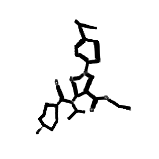 CCOC(=O)c1cn(-c2ccc(C(C)C)cc2)nc1N(C(=O)[C@H]1CC[C@H](C)CC1)C(C)C